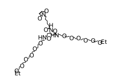 CCOCCOCCOCCOCCOCCOCCNC(=O)CC(CC(=O)NCCOCCOCCOCCOCCOCCOCC)NC(=O)CCCCCN1C(=O)C=CC1=O